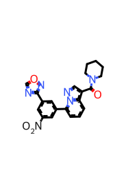 O=C(c1cnn2c(-c3cc(-c4ncon4)cc([N+](=O)[O-])c3)cccc12)N1CCCCC1